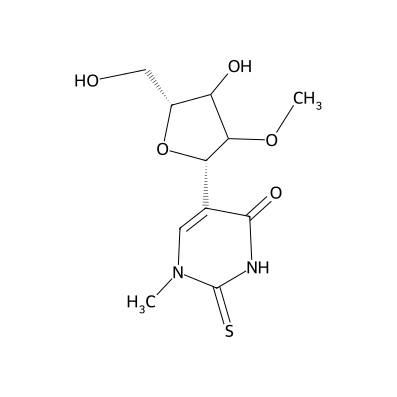 COC1C(O)[C@@H](CO)O[C@H]1c1cn(C)c(=S)[nH]c1=O